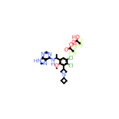 COc1c(C(C)Nc2ncnc3[nH]cnc23)cc(Cl)c(Cl)c1C1CN(C2CCC2)C1.O=C(O)C(F)(F)F.O=C(O)C(F)(F)F